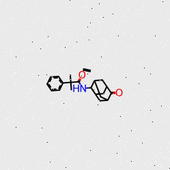 C=C.CC(C)(C(=O)NC1C2CC3CC1CC(C2)C3=O)c1ccccc1